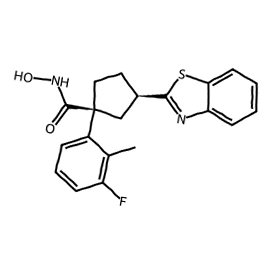 Cc1c(F)cccc1[C@]1(C(=O)NO)CC[C@@H](c2nc3ccccc3s2)C1